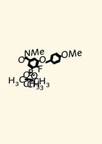 CNC(=O)c1cc(OCc2ccc(OC)cc2)c(F)c(B2OC(C)(C)C(C)(C)O2)c1